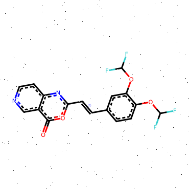 O=c1oc(/C=C/c2ccc(OC(F)F)c(OC(F)F)c2)nc2ccncc12